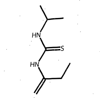 C=C(CC)NC(=S)NC(C)C